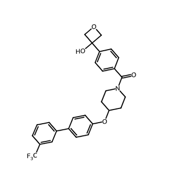 O=C(c1ccc(C2(O)COC2)cc1)N1CCC(Oc2ccc(-c3cccc(C(F)(F)F)c3)cc2)CC1